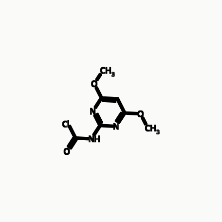 COc1cc(OC)nc(NC(=O)Cl)n1